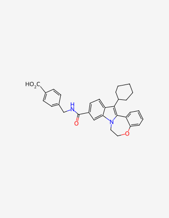 O=C(O)c1ccc(CNC(=O)c2ccc3c(C4CCCCC4)c4n(c3c2)CCOc2ccccc2-4)cc1